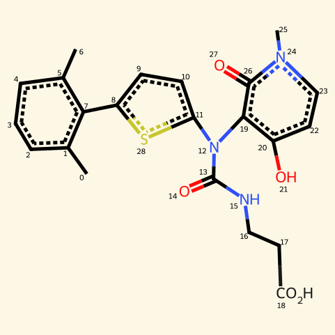 Cc1cccc(C)c1-c1ccc(N(C(=O)NCCC(=O)O)c2c(O)ccn(C)c2=O)s1